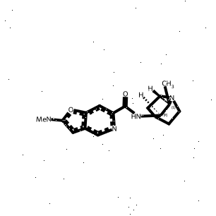 CNc1cc2cnc(C(=O)N[C@@H]3C4CCN(CC4)[C@H]3C)cc2o1